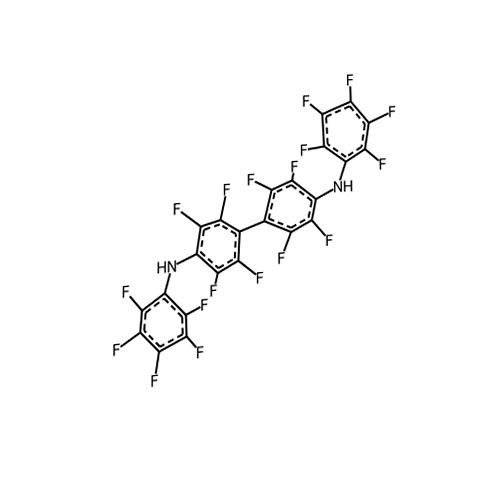 Fc1c(F)c(F)c(Nc2c(F)c(F)c(-c3c(F)c(F)c(Nc4c(F)c(F)c(F)c(F)c4F)c(F)c3F)c(F)c2F)c(F)c1F